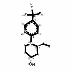 CC[C@H]1C[C@H](O)CCN1c1ccc(C(F)(F)F)cn1